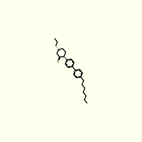 CCCCCCCc1ccc(-c2ccc([C@@H]3CC[C@@H](CCC)CC3=O)cc2)cc1